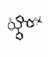 FC(F)(F)Oc1cccc(-c2ccccc2CC(c2ccccc2)C2CNCCO2)c1